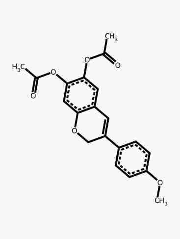 COc1ccc(C2=Cc3cc(OC(C)=O)c(OC(C)=O)cc3OC2)cc1